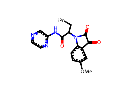 COc1ccc2c(c1)C(=O)C(=O)N2C(CC(C)C)C(=O)Nc1cnccn1